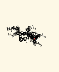 CCCCC(CC)Cc1cc(-c2ccc(N(c3ccc(C)cc3)c3ccc4c(c3)C(C)(C)c3cc(N(c5ccc(C)cc5)c5ccc(C)cc5)ccc3-4)cc2)cc2c(CC(CC)CCCC)cc(C)cc12